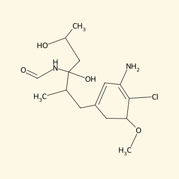 COC1CC(CC(C)C(O)(CC(C)O)NC=O)=CC(N)=C1Cl